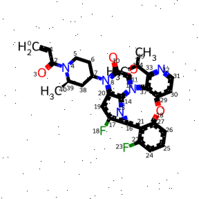 C=CC(=O)N1CCC(n2c(=O)c(=O)n3c4nc(c(F)cc42)c2c(F)cccc2oc2ccnc(C(C)C)c23)C[C@H]1C